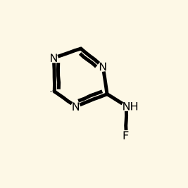 FNc1n[c]ncn1